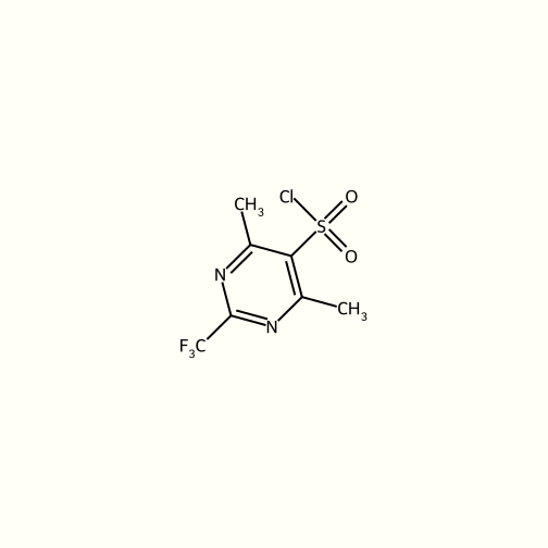 Cc1nc(C(F)(F)F)nc(C)c1S(=O)(=O)Cl